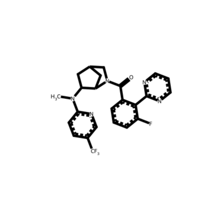 CN(c1ccc(C(F)(F)F)cn1)C1CC2CC1N(C(=O)c1cccc(F)c1-c1ncccn1)C2